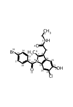 CCNC(=O)Cc1c(C)n(C(=O)c2ccc(Br)cc2)c2cc(Cl)c(O)cc12